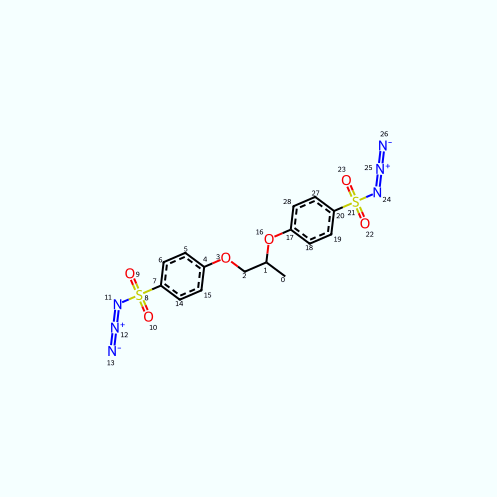 CC(COc1ccc(S(=O)(=O)N=[N+]=[N-])cc1)Oc1ccc(S(=O)(=O)N=[N+]=[N-])cc1